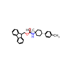 Cc1ccc([C@H]2CC[C@](NC(=O)OCC3c4ccccc4-c4ccccc43)(C(=O)O)CC2)cc1